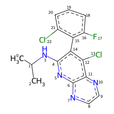 CC(C)Nc1nc2nccnc2c(Cl)c1-c1c(F)cccc1Cl